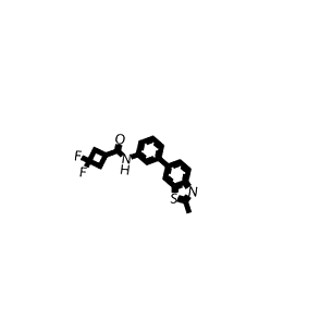 Cc1nc2ccc(-c3cccc(NC(=O)C4CC(F)(F)C4)c3)cc2s1